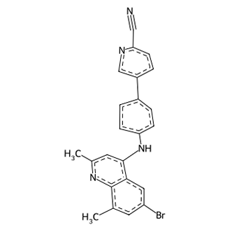 Cc1cc(Nc2ccc(-c3ccc(C#N)nc3)cc2)c2cc(Br)cc(C)c2n1